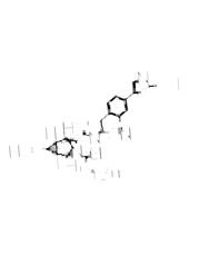 Cc1ncc(-c2ccc(C[C@@H](C#N)NC(=O)[C@@H]3[C@@H]4C[C@@H]([C@H]5[C@@H](C)[C@@H]45)N3C(=O)OC(C)(C)C)c(F)c2)s1